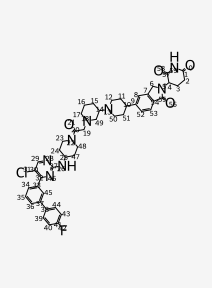 O=C1CCC(N2Cc3cc(C4CCN(C5CCCN(CC(=O)N6CCC(Nc7ncc(Cl)c(-c8cccc(-c9ccc(F)cc9)c8)n7)CC6)C5)CC4)ccc3C2=O)C(=O)N1